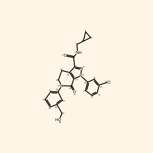 O=C(NCC1CC1)c1nn(-c2cccc(Cl)c2)c2c1CCN(c1cccc(CO)c1)C2=O